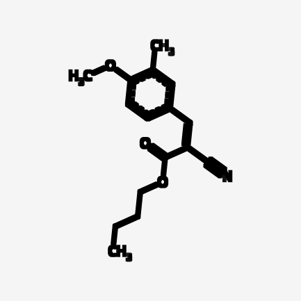 CCCCOC(=O)C(C#N)=Cc1ccc(OC)c(C)c1